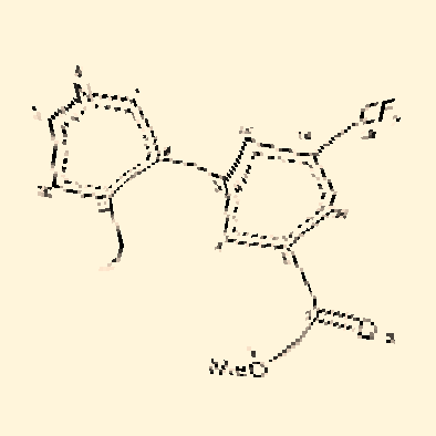 COC(=O)c1cc(-c2cnccc2C)cc(C(F)(F)F)c1